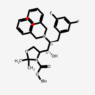 CC(C)(C)OC(=O)N1C([C@@H](O)[C@H](Cc2cc(F)cc(F)c2)N(Cc2ccccc2)Cc2ccccc2)COC1(C)C